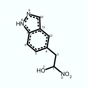 O=[N+]([O-])C(O)Cc1ccc2[nH]ncc2c1